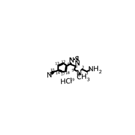 CN(CCN)Cc1nsnc1-c1ccc(C#N)cc1.Cl